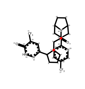 O=C(CN1CCCC1c1cc(C(F)(F)F)c(=O)[nH]n1)N1C2CCC1CN(c1ncc(C(F)(F)F)cn1)C2